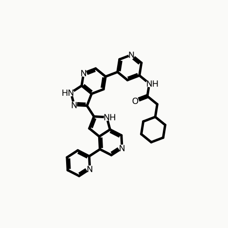 O=C(CC1CCCCC1)Nc1cncc(-c2cnc3[nH]nc(-c4cc5c(-c6ccccn6)cncc5[nH]4)c3c2)c1